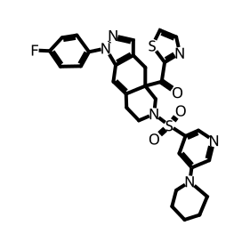 O=C(c1nccs1)C12Cc3cnn(-c4ccc(F)cc4)c3C=C1CCN(S(=O)(=O)c1cncc(N3CCCCC3)c1)C2